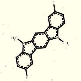 Cn1c2ccc(F)cc2c2cc3c(cc21)c1cc(F)ccc1n3C